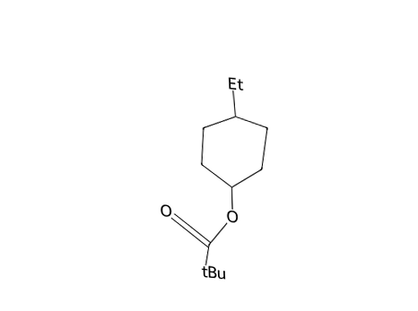 CCC1CCC(OC(=O)C(C)(C)C)CC1